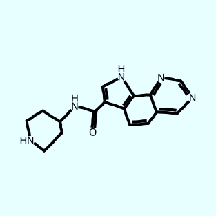 O=C(NC1CCNCC1)c1c[nH]c2c1ccc1cncnc12